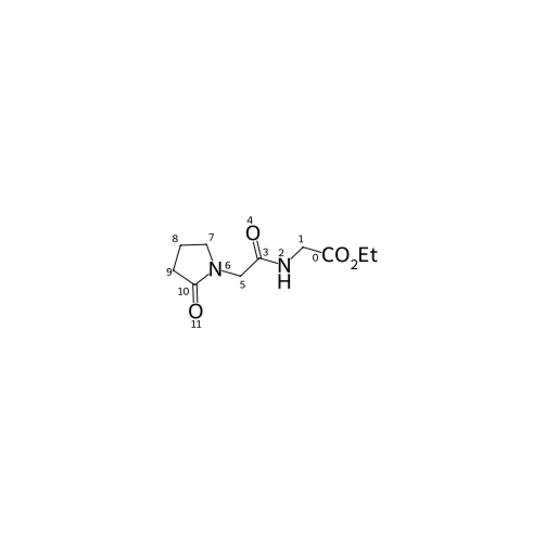 CCOC(=O)CNC(=O)CN1CCCC1=O